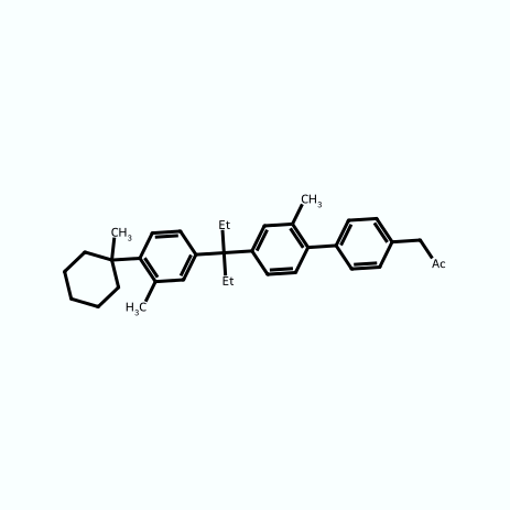 CCC(CC)(c1ccc(-c2ccc(CC(C)=O)cc2)c(C)c1)c1ccc(C2(C)CCCCC2)c(C)c1